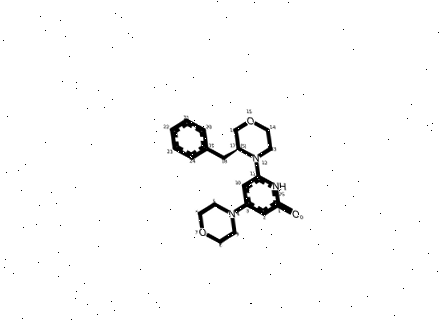 O=c1cc(N2CCOCC2)cc(N2CCOC[C@@H]2Cc2ccccc2)[nH]1